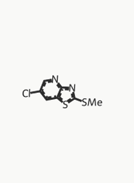 CSc1nc2ncc(Cl)cc2s1